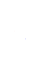 O=C[C@H]1C[C@@H](O)CN1